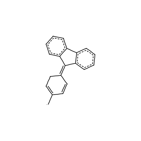 [CH2]C1=CCC(=C2c3ccccc3-c3ccccc32)C=C1